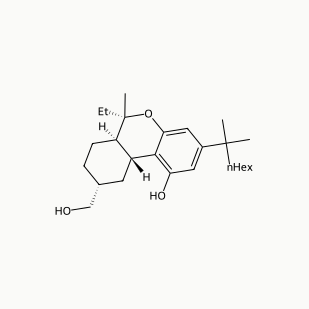 CCCCCCC(C)(C)c1cc(O)c2c(c1)O[C@@](C)(CC)[C@@H]1CC[C@@H](CO)C[C@@H]21